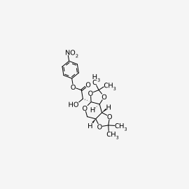 CC1(C)O[C@@H]2[C@@H](CO[C@@]3(C(O)C(=O)Oc4ccc([N+](=O)[O-])cc4)OC(C)(C)O[C@@H]23)O1